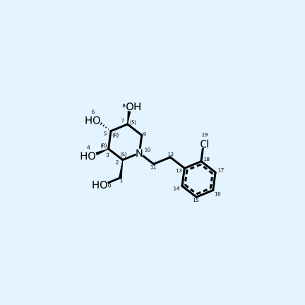 OC[C@H]1[C@@H](O)[C@H](O)[C@@H](O)CN1CCc1ccccc1Cl